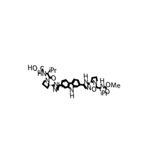 COC(=O)N[C@H](C(=O)N1CCC[C@H]1c1ncc(-c2ccc3c(c2)[nH]c2cc(-c4cnc([C@@H]5CCCN5C(=O)[C@@H](NC(=O)O)C(C)C)[nH]4)ccc23)[nH]1)C(C)C